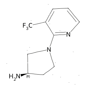 N[C@@H]1CCN(c2ncccc2C(F)(F)F)C1